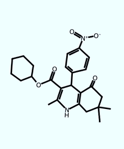 CC1=C(C(=O)OC2CCCCC2)C(c2ccc([N+](=O)[O-])cc2)C2=C(CC(C)(C)CC2=O)N1